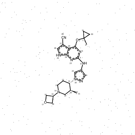 CC1(Oc2nc(Nc3cnn([C@H]4CCN(C5COC5)C[C@@H]4F)c3)nc3[nH]cc(C#N)c23)CC1